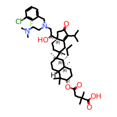 CCC[C@@H]1[C@@]2(C)CC[C@H](OC(=O)CC(C)(C)C(=O)O)C(C)(C)[C@@H]2CC[C@@]1(C)[C@]1(C)CC[C@@]2([C@@H](O)CN(CCN(C)C)Cc3cccc(Cl)c3F)CC(=O)C(C(C)C)=C2C1